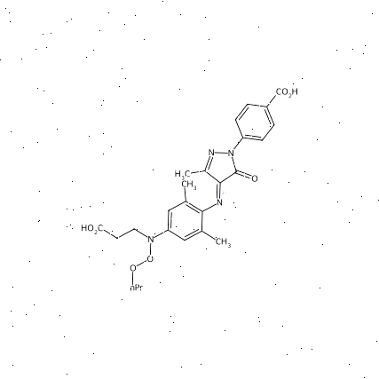 CCCOON(CCC(=O)O)c1cc(C)c(/N=C2/C(=O)N(c3ccc(C(=O)O)cc3)N=C2C)c(C)c1